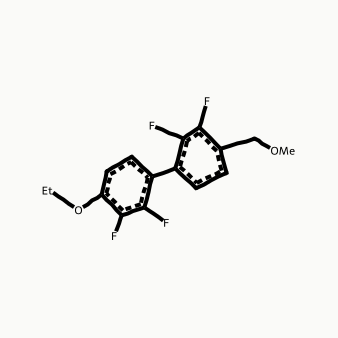 CCOc1ccc(-c2ccc(COC)c(F)c2F)c(F)c1F